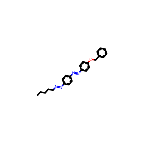 CCCCC/N=N/c1ccc(/N=N/c2ccc(OCc3ccccc3)cc2)cc1